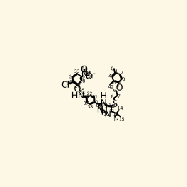 Cc1ccc(OCCCSc2c(C(C)(C)C)nn3nc(-c4ccc(NCOc5cc([N+](=O)[O-])ccc5Cl)cc4)[nH]c23)c(C)c1